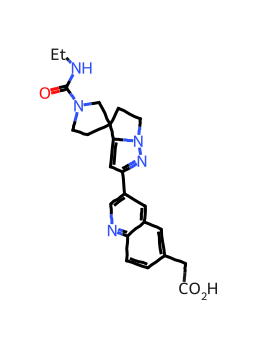 CCNC(=O)N1CCC2(CCn3nc(-c4cnc5ccc(CC(=O)O)cc5c4)cc32)C1